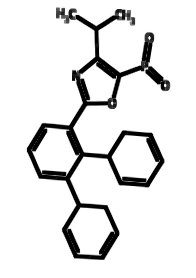 CC(C)c1nc(-c2cccc(C3C=CC=CC3)c2C2C=CC=CC2)oc1P(=O)=O